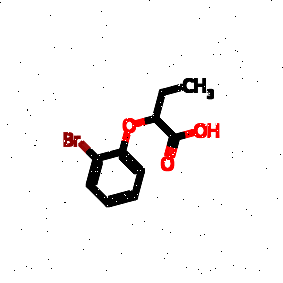 CCC(Oc1ccccc1Br)C(=O)O